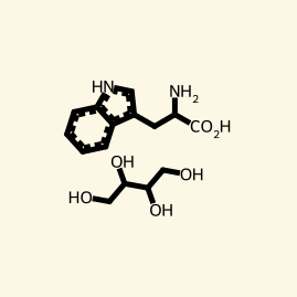 NC(Cc1c[nH]c2ccccc12)C(=O)O.OCC(O)C(O)CO